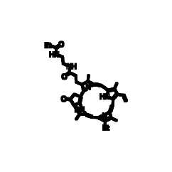 C=Cc1c(C)c2cc3nc(c4c5[nH]c(cc6nc(cc1[nH]2)C(C)=C6CC)c(C)c5C(=O)C4)C(CCC(=O)NCCNC(=O)CC)C3C